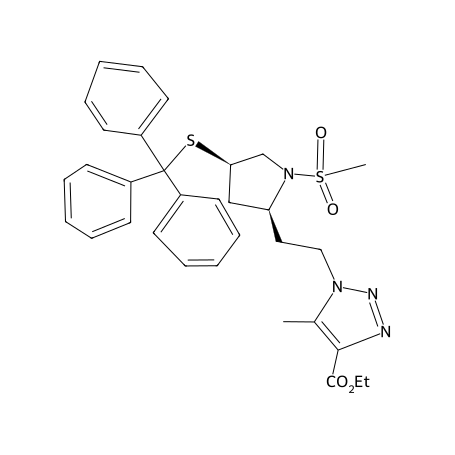 CCOC(=O)c1nnn(CC[C@H]2C[C@@H](SC(c3ccccc3)(c3ccccc3)c3ccccc3)CN2S(C)(=O)=O)c1C